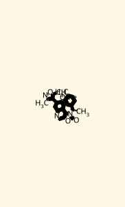 COc1cc2c(cc1-c1c(C)noc1C)ncc1oc(=O)n([C@H](C)c3ccc(C)cc3)c12